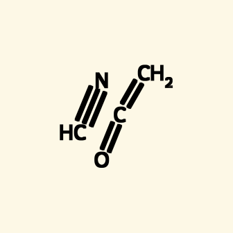 C#N.C=C=O